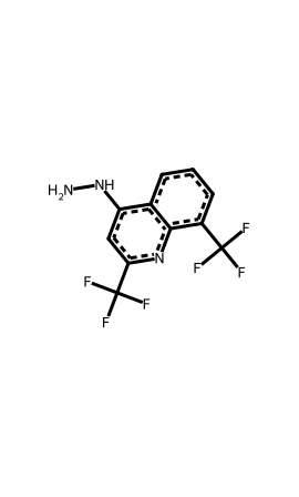 NNc1cc(C(F)(F)F)nc2c(C(F)(F)F)cccc12